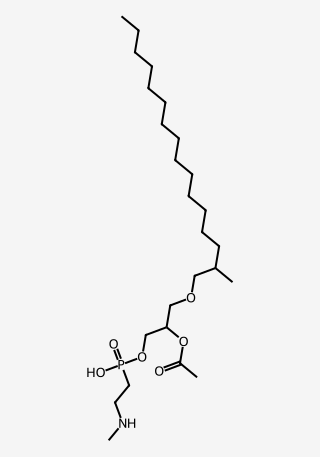 CCCCCCCCCCCCCCC(C)COCC(COP(=O)(O)CCNC)OC(C)=O